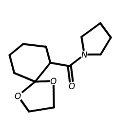 O=C(C1CCCCC12OCCO2)N1CCCC1